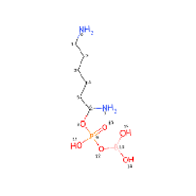 NCCCCCC(N)OP(=O)(O)OB(O)O